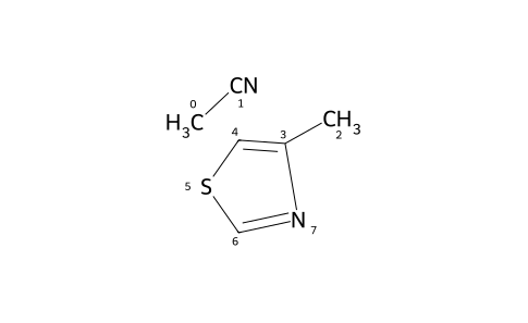 CC#N.Cc1cscn1